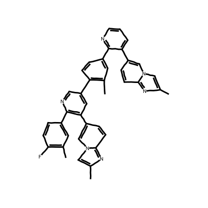 Cc1cn2cc(-c3cccnc3-c3ccc(-c4cnc(-c5ccc(F)c(C)c5)c(-c5ccc6nc(C)cn6c5)c4)c(C)c3)ccc2n1